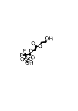 O=C(COC(=O)C(F)(F)S(=O)(=O)O)OCCO